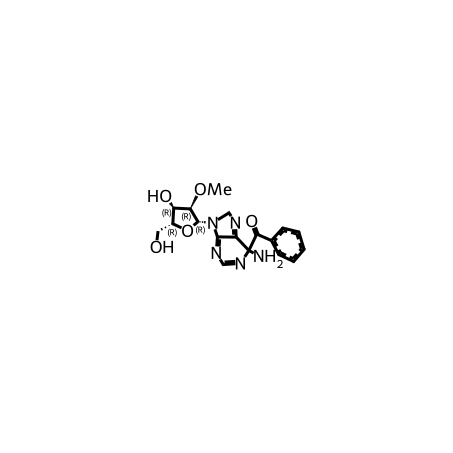 CO[C@@H]1[C@H](O)[C@@H](CO)O[C@H]1N1CN=C2C1=NC=NC2(N)C(=O)c1ccccc1